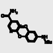 CCCCNc1ccc(Oc2ccc(C(N)=O)cn2)c(OC)c1